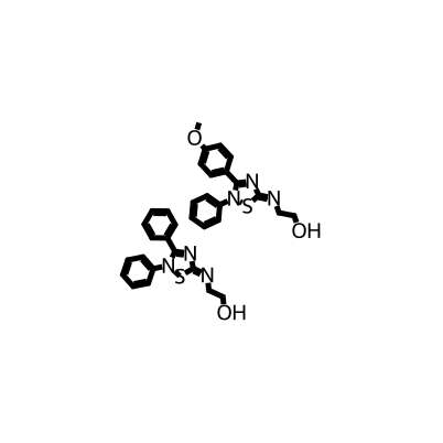 COc1ccc(-c2nc(=NCCO)sn2-c2ccccc2)cc1.OCCN=c1nc(-c2ccccc2)n(-c2ccccc2)s1